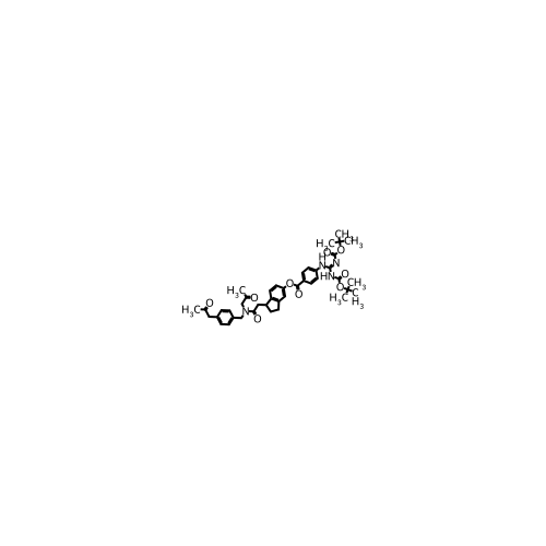 CC(=O)Cc1ccc(CN(CC(C)=O)C(=O)CC2CCc3cc(OC(=O)c4ccc(N/C(=N\C(=O)OC(C)(C)C)NC(=O)OC(C)(C)C)cc4)ccc32)cc1